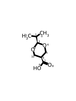 CC(C)[C@H]1OC[C@@H](C(=O)O)CO1